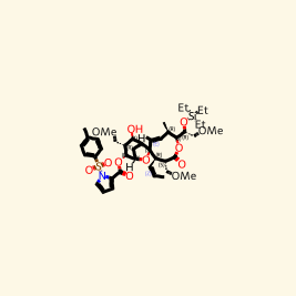 C/C=C\[C@@H]1[C@@H](COC)C(=O)O[C@H]([C@@H](COC)O[Si](CC)(CC)CC)[C@H](C)/C=C(\C)[C@]12O[C@@H]1C[C@H]2[C@H](O)[C@@H](COC)[C@H]1OC(=O)c1cccn1S(=O)(=O)c1ccc(C)cc1